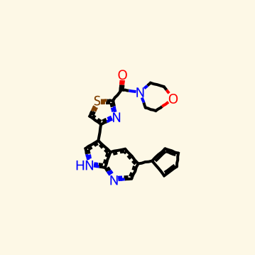 O=C(c1nc(-c2c[nH]c3ncc(C4=C=CC=C4)cc23)cs1)N1CCOCC1